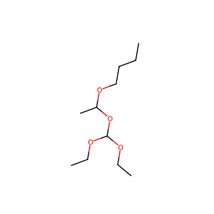 CCCCOC(C)O[C](OCC)OCC